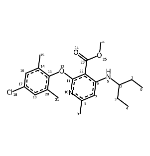 CCC(CC)Nc1cc(C)nc(Oc2c(C)cc(Cl)cc2C)c1C(=O)OC